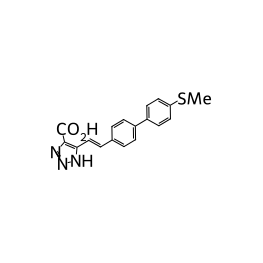 CSc1ccc(-c2ccc(C=Cc3[nH]nnc3C(=O)O)cc2)cc1